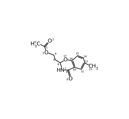 CC(=O)OCCC1NC(=O)c2cc(C)ccc2O1